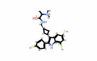 CC(C(O)NC[C@H]1C[C@@H](c2c(-c3ccc(F)cc3)[nH]c3c(F)cc(F)cc32)C1)N(C)C